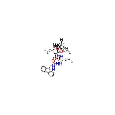 CC(C)C[C@H](NC(=O)[C@H](CC(C)C)NC(=O)NCC1c2ccccc2-c2ccccc21)B1O[C@@H]2C[C@@H]3C[C@@H](C3(C)C)[C@]2(C)O1